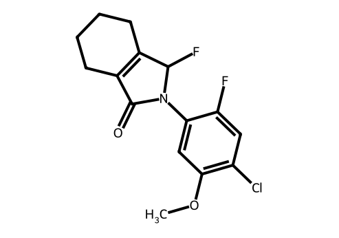 COc1cc(N2C(=O)C3=C(CCCC3)C2F)c(F)cc1Cl